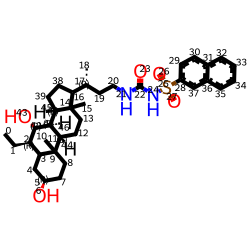 CC[C@@H]1C2C[C@H](O)CCC2(C)[C@H]2CCC3(C)C([C@H](C)CCNC(=O)NS(=O)(=O)c4ccc5ccccc5c4)CC[C@H]3[C@@H]2[C@@H]1O